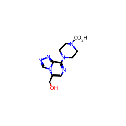 O=C(O)N1CCN(c2ncc(CO)n3cnnc23)CC1